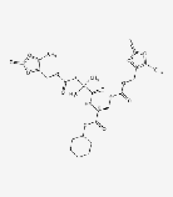 Cc1oc(=O)oc1COC(=O)SC[C@H](NC(=O)C(C)(C)SC(=O)OCc1oc(=O)oc1C)C(=O)OC1CCCCC1